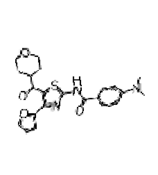 CN(C)c1ccc(C(=O)Nc2nc(-c3ccco3)c(C(=O)C3CCOCC3)s2)cc1